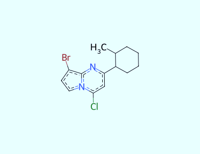 CC1CCCCC1c1cc(Cl)n2ccc(Br)c2n1